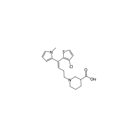 Cn1cccc1C(=CCCN1CCCC(C(=O)O)C1)c1sccc1Cl